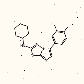 Fc1ccc(-c2cnc3sc(NC4CCCCC4)nn23)cc1Cl